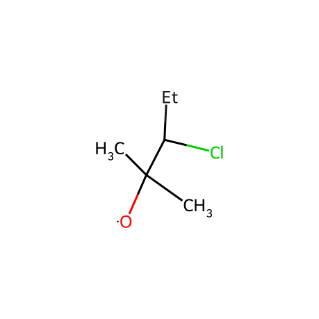 CCC(Cl)C(C)(C)[O]